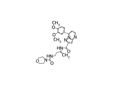 C=C(CCNC(=O)N1CCOCC1)NC(=O)c1cc2nccc(-c3ccc(OC)c(OC)c3)n2n1